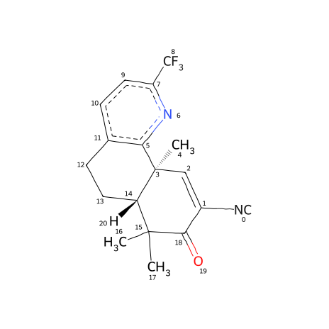 [C-]#[N+]C1=C[C@]2(C)c3nc(C(F)(F)F)ccc3CC[C@H]2C(C)(C)C1=O